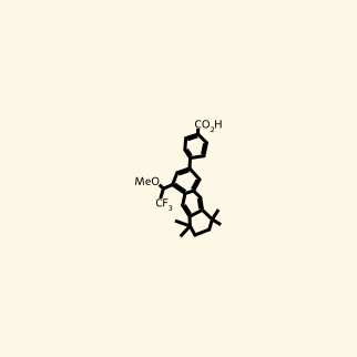 COC(c1cc(-c2ccc(C(=O)O)cc2)cc2cc3c(cc12)C(C)(C)CCC3(C)C)C(F)(F)F